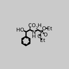 CCOP(=O)(CN[C@H](C(=O)O)C(O)c1ccccc1)OCC